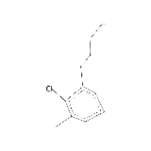 [CH2]CCCc1cccc(C)c1Cl